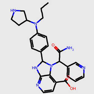 CCCN(c1ccc(C2Nc3nccc(C(=O)O)c3N2C(C(N)=O)c2cccnc2)cc1)C1CCNC1